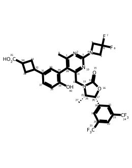 Cc1nc(N2CC(F)(F)C2)nc(CN2C(=O)O[C@H](c3cc(C(F)(F)F)cc(C(F)(F)F)c3)[C@@H]2C)c1-c1cc(C2CC(C(=O)O)C2)ccc1O